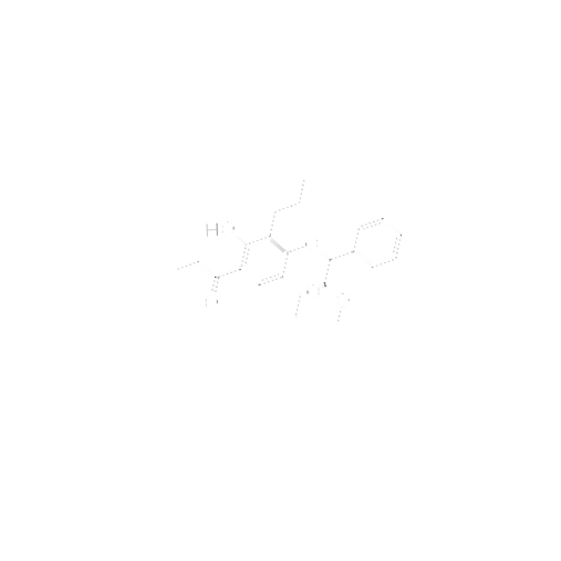 CCCc1cc(C(=O)CC)c(O)c(CCC)c1OC(C(=O)OC)c1ccccc1